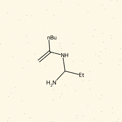 C=C(CCCC)NC(N)CC